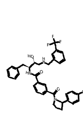 O=C(N[C@@H](Cc1ccccc1)[C@H](O)CNCc1cccc(C(F)(F)F)c1)c1cccc(C(=O)N2CCCC2c2ccc(F)cc2)c1